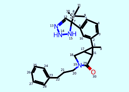 CC1(c2cccc(C3([Si](C)(C)C)C=NNN3)c2)C2CN(CCCc3ccccc3)C(=O)C21